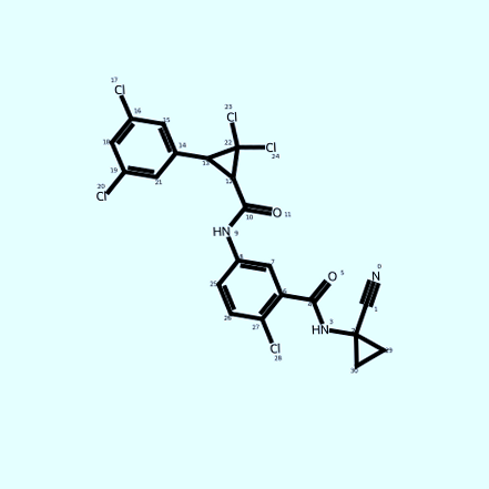 N#CC1(NC(=O)c2cc(NC(=O)C3C(c4cc(Cl)cc(Cl)c4)C3(Cl)Cl)ccc2Cl)CC1